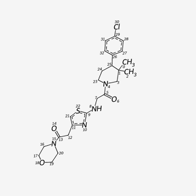 CC1(C)CN(C(=O)CNc2nc(CC(=O)N3CCOCC3)cs2)CCC1c1ccc(Cl)cc1